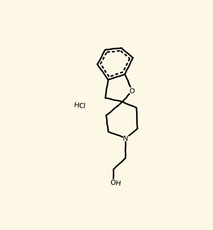 Cl.OCCN1CCC2(CC1)Cc1ccccc1O2